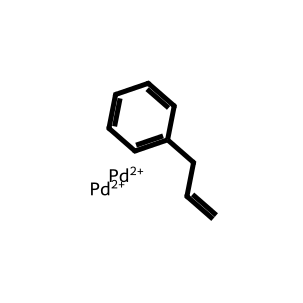 C=CCc1ccccc1.[Pd+2].[Pd+2]